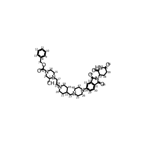 C[C@H]1CN(C(=O)OCc2ccccc2)CCN1CCN1CCC(CN2CCN(c3ccc4c(c3)C(=O)N(C3CCC(=O)NC3=O)C4=O)CC2)CC1